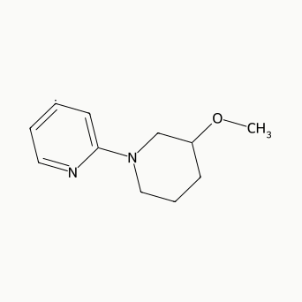 COC1CCCN(c2c[c]ccn2)C1